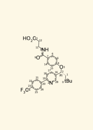 CC(C)(C)C[C@@H](Oc1ccc(C(=O)NCCC(=O)O)cc1)c1ccc(-c2ccc(C(F)(F)F)cc2)nc1